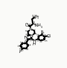 CC(C)C[C@H](N)C(=O)N1CCn2c(nc(-c3ccc(F)cc3)c2Nc2ccc(Cl)c(F)c2)C1